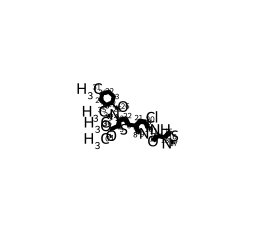 COC(=O)c1sc(-c2cnc(NC(=O)c3cscn3)c(Cl)c2)cc1N(C(=O)[C@H]1CC[C@H](C)CC1)C(C)C